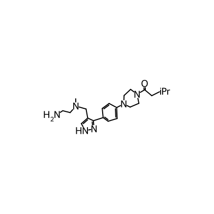 CC(C)CC(=O)N1CCN(c2ccc(-c3n[nH]cc3CN(C)CCN)cc2)CC1